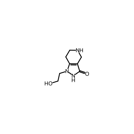 O=c1[nH]n(CCO)c2c1CNCC2